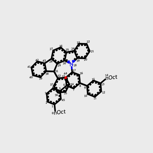 CCCCCCCCc1cccc(-c2cc(-c3cccc(CCCCCCCC)c3)cc(-n3c4ccccc4c4ccc5c(c43)C(c3ccccc3)c3ccccc3-5)c2)c1